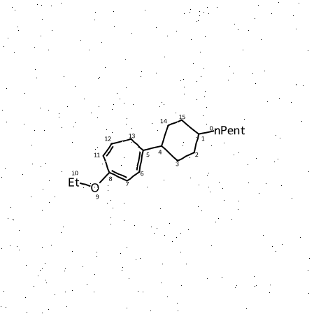 CCCCCC1CCC(C2=CC=C(OCC)C=CC2)CC1